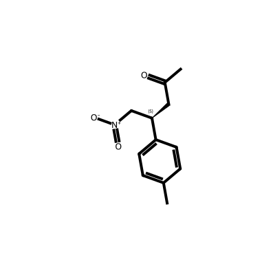 CC(=O)C[C@H](C[N+](=O)[O-])c1ccc(C)cc1